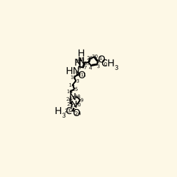 COc1ccc(-c2cc(NC(=O)CCCCCN3CCCN(C(C)=O)CC3)n[nH]2)cc1